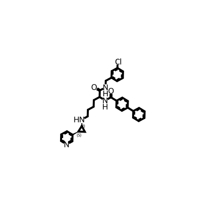 O=C(NC(CCCCN[C@@H]1C[C@H]1c1cccnc1)C(=O)NCc1cccc(Cl)c1)c1ccc(-c2ccccc2)cc1